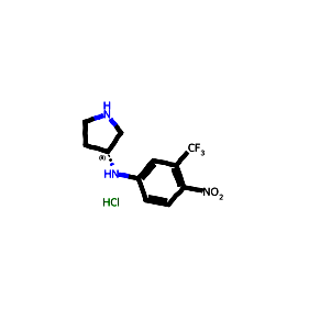 Cl.O=[N+]([O-])c1ccc(N[C@@H]2CCNC2)cc1C(F)(F)F